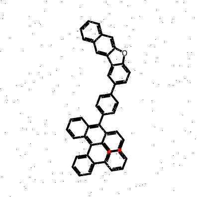 c1ccc(-c2ccccc2-c2c3ccccc3c(-c3ccc(-c4ccc5oc6cc7ccccc7cc6c5c4)cc3)c3ccccc23)cc1